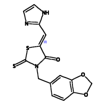 O=C1/C(=C/c2ncc[nH]2)SC(=S)N1Cc1ccc2c(c1)OCO2